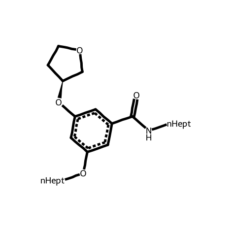 CCCCCCCNC(=O)c1cc(OCCCCCCC)cc(O[C@H]2CCOC2)c1